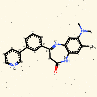 CN(C)c1cc2c(cc1C(F)(F)F)NC(=O)CC(c1cccc(-c3cccnc3)c1)=N2